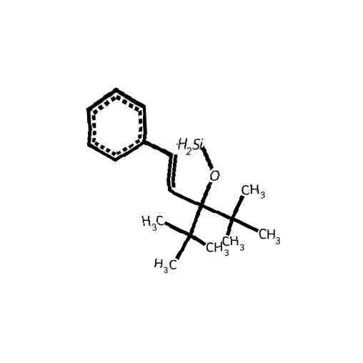 CC(C)(C)C(C=Cc1ccccc1)(O[SiH2])C(C)(C)C